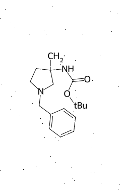 [CH2]C1(NC(=O)OC(C)(C)C)CCN(Cc2ccccc2)C1